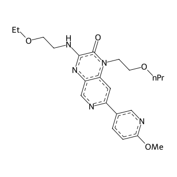 CCCOCCn1c(=O)c(NCCOCC)nc2cnc(-c3ccc(OC)nc3)cc21